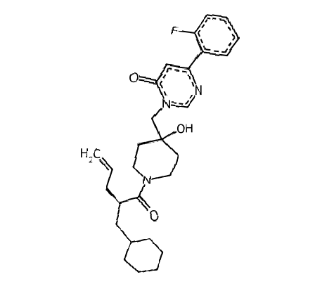 C=CC[C@H](CC1CCCCC1)C(=O)N1CCC(O)(Cn2cnc(-c3ccccc3F)cc2=O)CC1